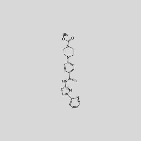 CC(C)(C)OC(=O)N1CCN(c2ccc(C(=O)Nc3nc(-c4ccccn4)cs3)cc2)CC1